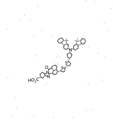 CC1(C)c2ccccc2-c2ccc(N(c3ccc(-c4ccc(-c5ccc(-c6ccc7c8c6cccc8c(=O)n6c8ccc(C(=O)O)cc8nc76)s5)s4)cc3)c3ccc4c(c3)C(C)(C)c3ccccc3-4)cc21